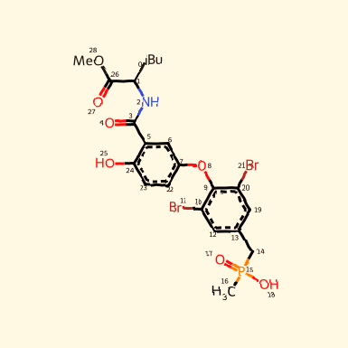 CCC(C)C(NC(=O)c1cc(Oc2c(Br)cc(CP(C)(=O)O)cc2Br)ccc1O)C(=O)OC